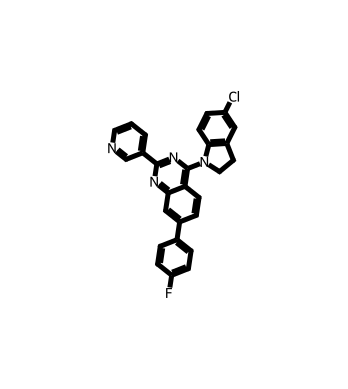 Fc1ccc(-c2ccc3c(N4CCc5cc(Cl)ccc54)nc(-c4cccnc4)nc3c2)cc1